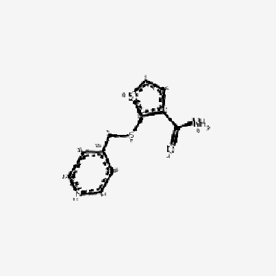 NC(=O)c1ccsc1SCc1ccncc1